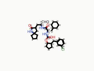 O=C[C@H](CC1CC2(CCCC2)NC1=O)NC(=O)[C@H](CC1CCCCC1)NC(O)OC1CCCC1Cc1cccc(Cl)c1